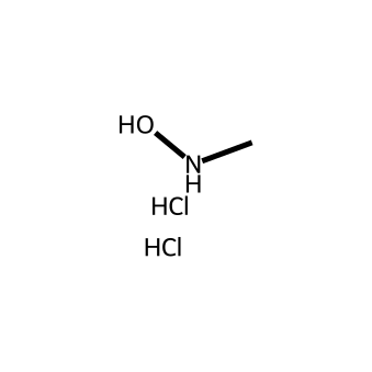 CNO.Cl.Cl